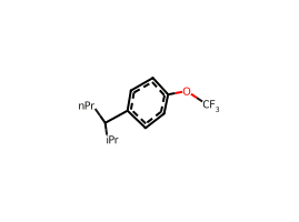 CCCC(c1ccc(OC(F)(F)F)cc1)C(C)C